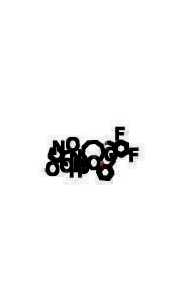 COc1ccnc(C(=O)N[C@H]2CCC[C@H](Cc3ccc(F)cc3F)[C@@H](OCc3ccccc3)[C@H](C)OC2=O)c1O